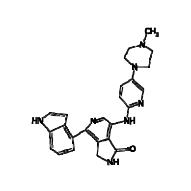 CN1CCN(c2ccc(Nc3cnc(-c4cccc5[nH]ccc45)c4c3C(=O)NC4)nc2)CC1